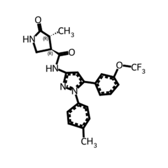 Cc1ccc(-n2nc(NC(=O)[C@H]3CNC(=O)[C@@H]3C)cc2-c2cccc(OC(F)(F)F)c2)cc1